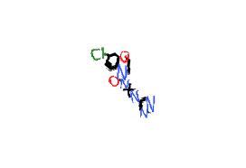 O=C(N1CC2(C1)CN(c1cncnc1)C2)N1CCOc2cc(Cl)ccc21